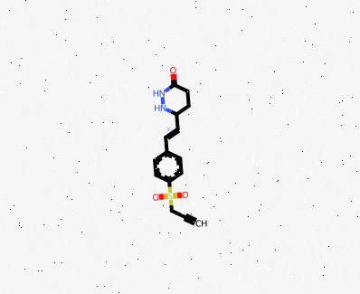 C#CCS(=O)(=O)c1ccc(/C=C/C2CCC(=O)NN2)cc1